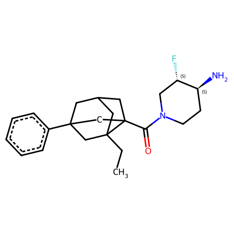 CCC12CC3CC(c4ccccc4)(C1)CC2(C(=O)N1CC[C@H](N)[C@@H](F)C1)C3